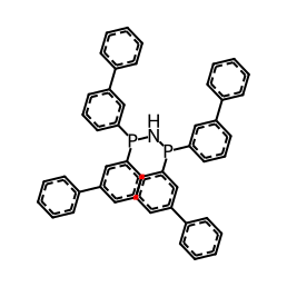 c1ccc(-c2cccc(P(NP(c3cccc(-c4ccccc4)c3)c3cccc(-c4ccccc4)c3)c3cccc(-c4ccccc4)c3)c2)cc1